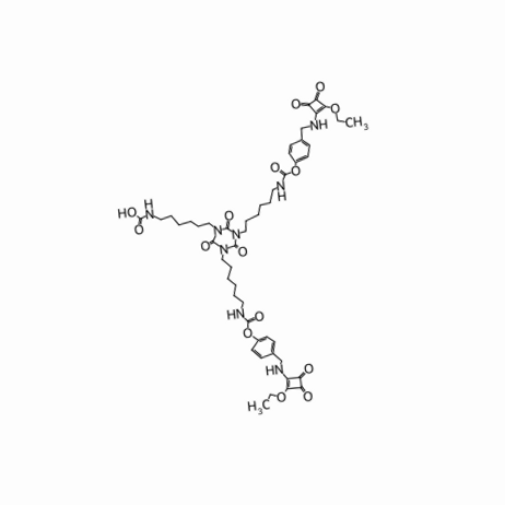 CCOc1c(NCc2ccc(OC(=O)NCCCCCCn3c(=O)n(CCCCCCNC(=O)O)c(=O)n(CCCCCCNC(=O)Oc4ccc(CNc5c(OCC)c(=O)c5=O)cc4)c3=O)cc2)c(=O)c1=O